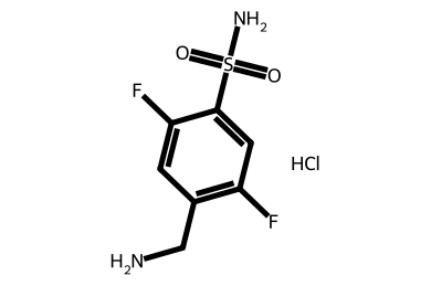 Cl.NCc1cc(F)c(S(N)(=O)=O)cc1F